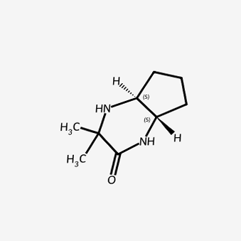 CC1(C)N[C@H]2CCC[C@@H]2NC1=O